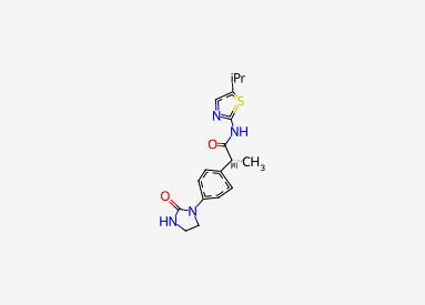 CC(C)c1cnc(NC(=O)[C@H](C)c2ccc(N3CCNC3=O)cc2)s1